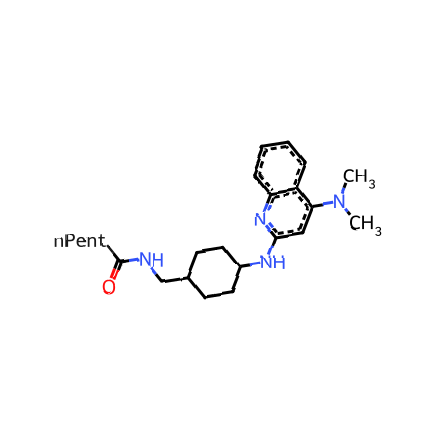 CCCCCC(=O)NCC1CCC(Nc2cc(N(C)C)c3ccccc3n2)CC1